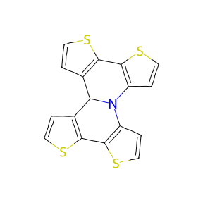 c1cc2c(s1)-c1sccc1N1c3ccsc3-c3sccc3C21